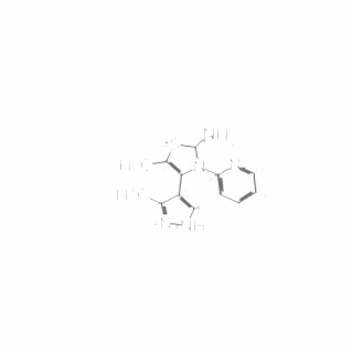 CC1=C(c2c[nH]nc2C)N(c2ccccn2)C(N)S1